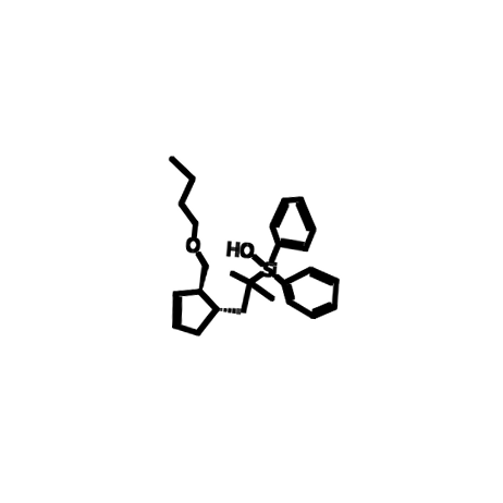 CCCCOC[C@@H]1C=CC[C@H]1CC(C)(C)[Si](O)(c1ccccc1)c1ccccc1